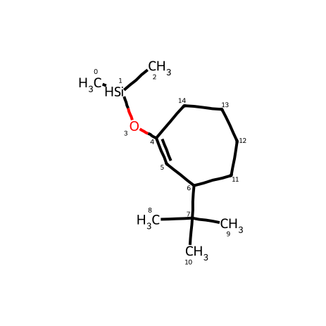 C[SiH](C)OC1=CC(C(C)(C)C)CCCC1